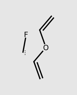 C=COC=C.[C]F